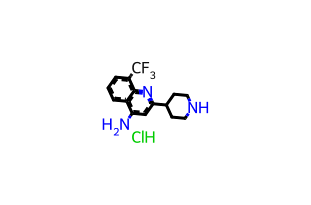 Cl.Nc1cc(C2CCNCC2)nc2c(C(F)(F)F)cccc12